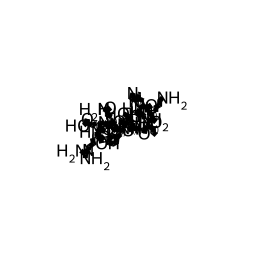 CC[C@H](C)[C@H](NC(=O)[C@H](CCCCN)NC(=O)[C@H](Cc1cnc[nH]1)NC(=O)CN)C(=O)N[C@@H](C)C(=O)N[C@H](C(=O)N[C@@H](Cc1ccccc1)C(=O)N[C@@H](CCC(N)=O)C(=O)N[C@@H](CCC(=O)O)C(=O)N[C@@H](CCCN=C(N)N)C(=O)O)[C@@H](C)O